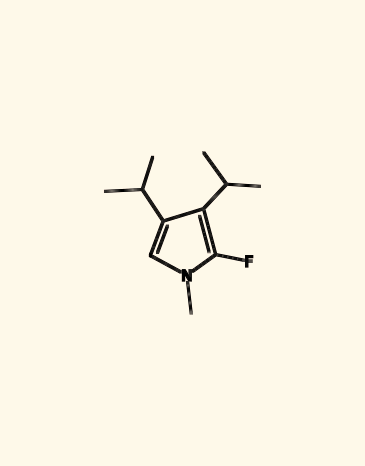 CC(C)c1cn(C)c(F)c1C(C)C